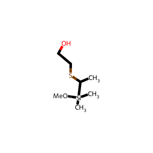 CO[Si](C)(C)C(C)SCCO